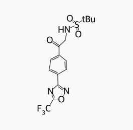 CC(C)(C)S(=O)(=O)NCC(=O)c1ccc(-c2noc(C(F)(F)F)n2)cc1